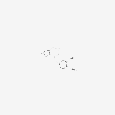 Cc1cc2c(o1)CN(C)CC2Oc1ccc(C#N)c(C#N)c1.Cl